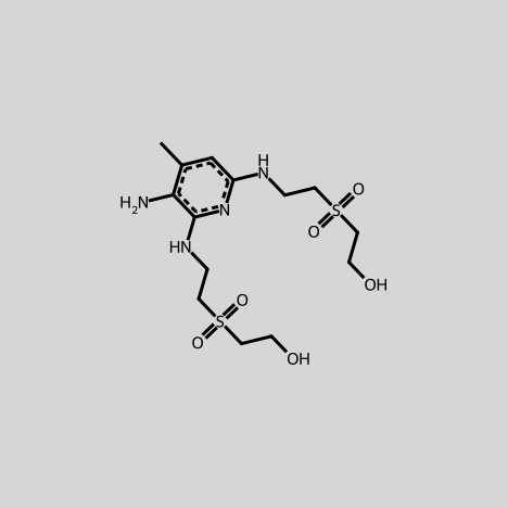 Cc1cc(NCCS(=O)(=O)CCO)nc(NCCS(=O)(=O)CCO)c1N